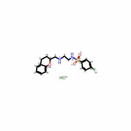 Cl.O=S(=O)(NCCNCC1CCc2ccccc2O1)c1ccc(F)cc1